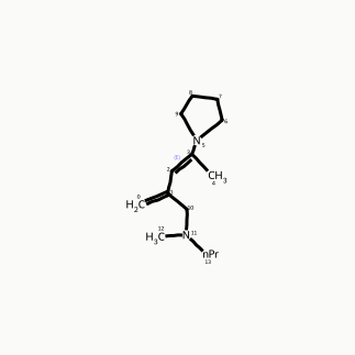 C=C(/C=C(\C)N1CCCC1)CN(C)CCC